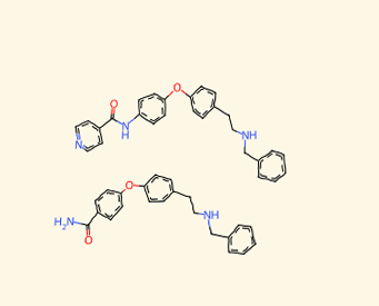 NC(=O)c1ccc(Oc2ccc(CCNCc3ccccc3)cc2)cc1.O=C(Nc1ccc(Oc2ccc(CCNCc3ccccc3)cc2)cc1)c1ccncc1